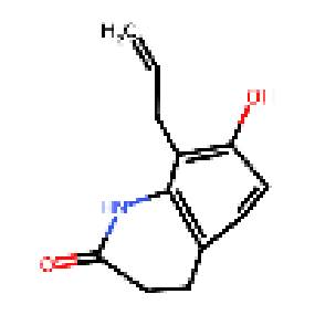 C=CCc1c(O)ccc2c1NC(=O)CC2